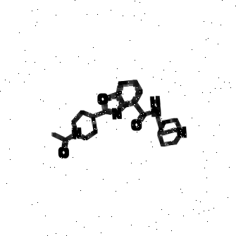 CC(=O)N1CCC(c2nc3c(C(=O)NC4CN5CCC4CC5)cccc3o2)CC1